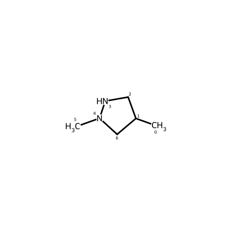 CC1CNN(C)C1